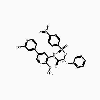 COc1ncc(-c2ccnc(C)c2)cc1NC(=O)[C@@H](Cc1ccccc1)OS(=O)(=O)c1ccc([N+](=O)[O-])cc1